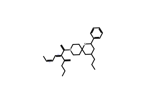 C=C(CCC)/C(=C\C=C/C)C(=C)N1CCC2(CC1)CC(CCC)CC(c1ccccc1)S2